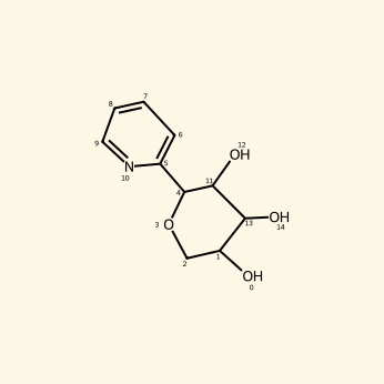 OC1COC(c2ccccn2)C(O)C1O